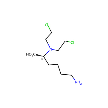 NCCCC[C@@H](C(=O)O)N(CCCl)CCCl